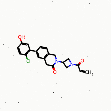 C=CC(=O)N1CC(N2Cc3ccc(-c4cc(O)ccc4Cl)cc3CC2=O)C1